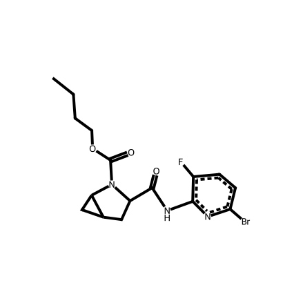 CCCCOC(=O)N1C(C(=O)Nc2nc(Br)ccc2F)CC2CC21